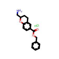 Cl.NCC1CCc2cc(C(=O)OCc3ccccc3)ccc2O1